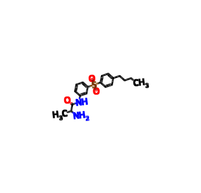 CCCCc1ccc(S(=O)(=O)c2cccc(NC(=O)C(C)N)c2)cc1